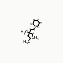 CCCC(C)(CC)CCN1CCCCC1